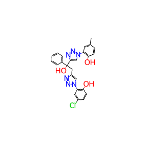 Cc1ccc(O)c(-n2cc(C(O)(Cc3cn(-c4cc(Cl)ccc4O)nn3)c3ccccc3)nn2)c1